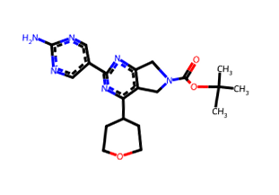 CC(C)(C)OC(=O)N1Cc2nc(-c3cnc(N)nc3)nc(C3CCOCC3)c2C1